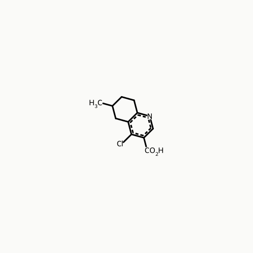 CC1CCc2ncc(C(=O)O)c(Cl)c2C1